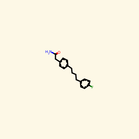 NC(=O)Cc1ccc(CCCCc2ccc(F)cc2)cc1